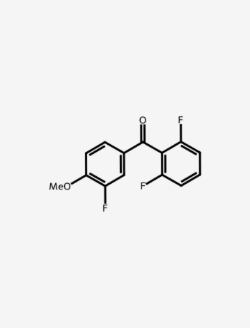 COc1ccc(C(=O)c2c(F)cccc2F)cc1F